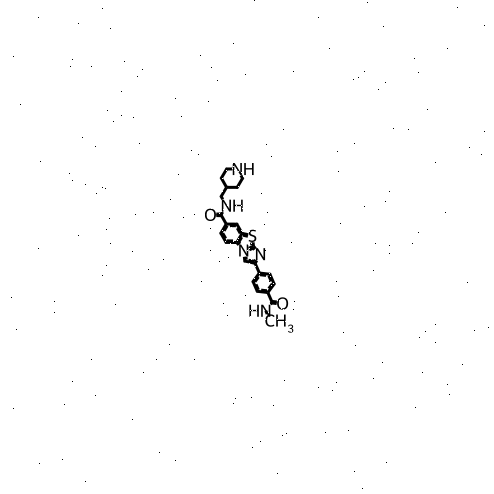 CNC(=O)c1ccc(-c2cn3c(n2)sc2cc(C(=O)NCC4CCNCC4)ccc23)cc1